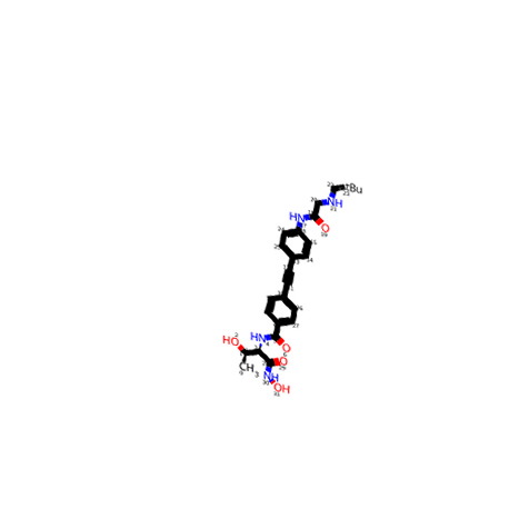 C[C@@H](O)[C@H](NC(=O)c1ccc(C#Cc2ccc(NC(=O)CNCC(C)(C)C)cc2)cc1)C(=O)NO